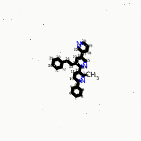 Cc1nc(-c2ccccc2)ccc1-c1ncc(-c2cccnc2)cc1/C=C/c1ccccc1